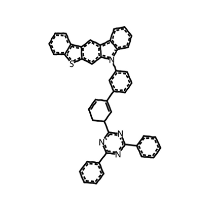 C1=CC(c2cccc(-n3c4ccccc4c4cc5c(cc43)sc3ccccc35)c2)=CC(c2nc(-c3ccccc3)nc(-c3ccccc3)n2)C1